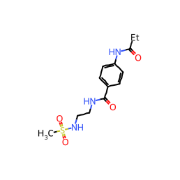 CCC(=O)Nc1ccc(C(=O)NCCNS(C)(=O)=O)cc1